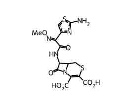 CON=C(C(=O)NC1C(=O)N2C(C(=O)O)=C(C(=O)O)SCC12)c1csc(N)n1